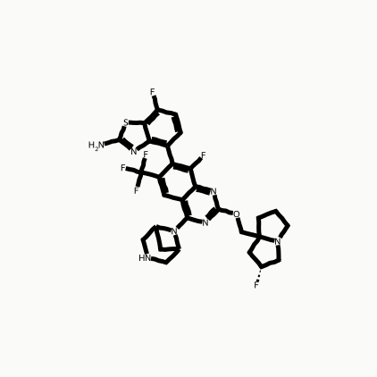 Nc1nc2c(-c3c(C(F)(F)F)cc4c(N5C6CNCC5C6)nc(OCC56CCCN5C[C@H](F)C6)nc4c3F)ccc(F)c2s1